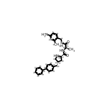 Cc1nc(N)ccc1CNC(=O)[C@@H](C)NC(=O)[C@H]1C[C@H](Cc2ccc(-c3ccccc3)cc2)CN1